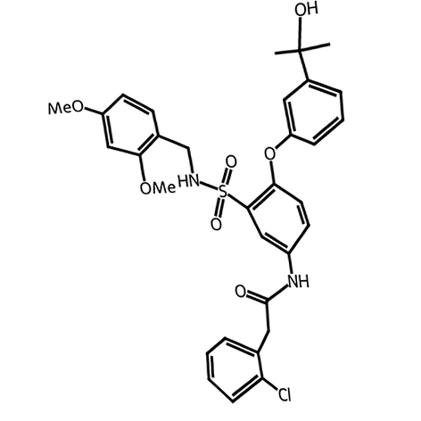 COc1ccc(CNS(=O)(=O)c2cc(NC(=O)Cc3ccccc3Cl)ccc2Oc2cccc(C(C)(C)O)c2)c(OC)c1